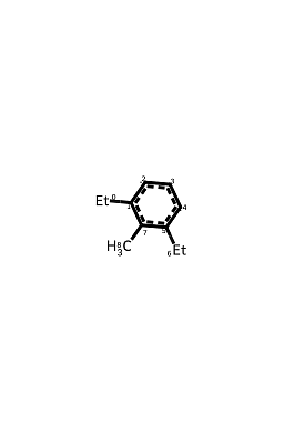 CCc1[c]c[c]c(CC)c1C